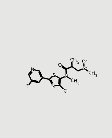 CC(C[S+](C)[O-])C(=O)N(C)c1sc(-c2cncc(F)c2)nc1Cl